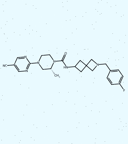 C[C@@H]1CN(c2ncc(C#N)cn2)CCN1C(=O)NC1CC2(C1)CN(Cc1ccc(F)cc1)C2